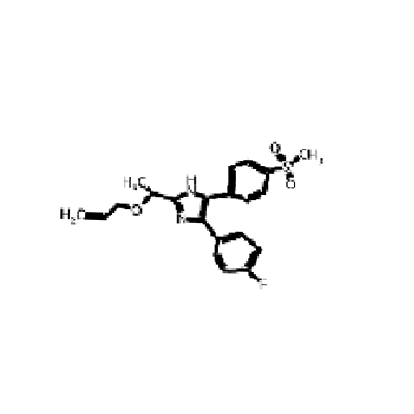 C=CCOC(C)c1nc(-c2ccc(F)cc2)c(-c2ccc(S(C)(=O)=O)cc2)[nH]1